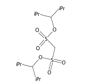 CC(C)C(OS(=O)(=O)CS(=O)(=O)OC(C(C)C)C(C)C)C(C)C